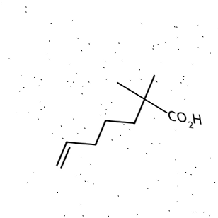 C=CCCCC(C)(C)C(=O)O